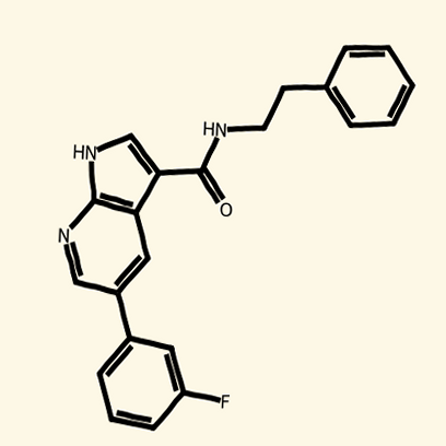 O=C(NCCc1ccccc1)c1c[nH]c2ncc(-c3cccc(F)c3)cc12